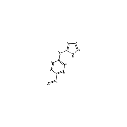 O=Cc1ccc(Oc2ccco2)cc1